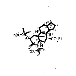 CCCC[Si](C)(C)OC1C[C@]2(C)[C@H]3CC[C@]4(C)CCC[C@H]4[C@@H]3[C@@H](C(=O)OCC)C[C@H]2N([Si](C)(C)C(C)(C)C)C1=O